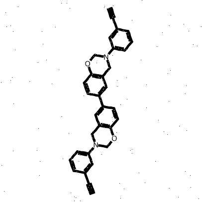 C#Cc1cccc(N2COc3ccc(-c4ccc5c(c4)CN(c4cccc(C#C)c4)CO5)cc3C2)c1